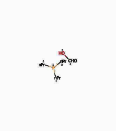 CCCP(CCC)CCC.O=CO